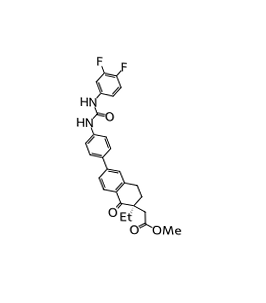 CC[C@@]1(CC(=O)OC)CCc2cc(-c3ccc(NC(=O)Nc4ccc(F)c(F)c4)cc3)ccc2C1=O